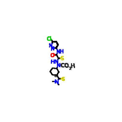 CN(C)C(=S)[C@H]1CCCC(N(NC(=S)C(=O)Nc2ccc(Cl)nn2)C(=O)O)C1